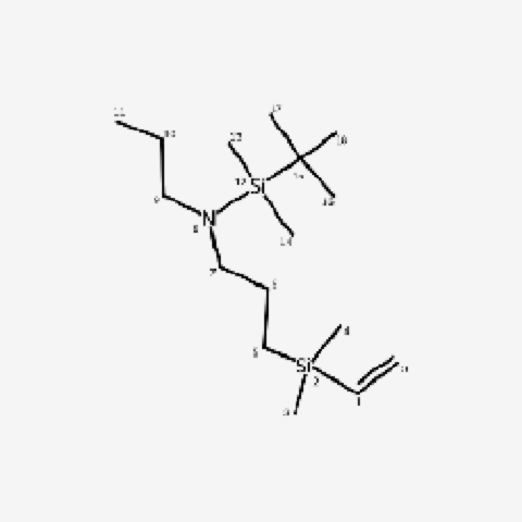 C=C[Si](C)(C)CCCN(CCC)[Si](C)(C)C(C)(C)C